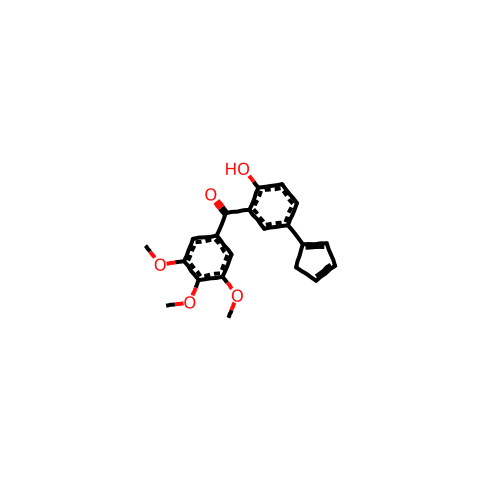 COc1cc(C(=O)c2cc(C3=CC=CC3)ccc2O)cc(OC)c1OC